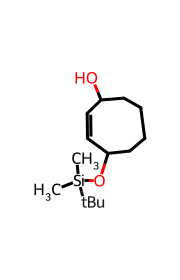 CC(C)(C)[Si](C)(C)OC1/C=C\C(O)CCCC1